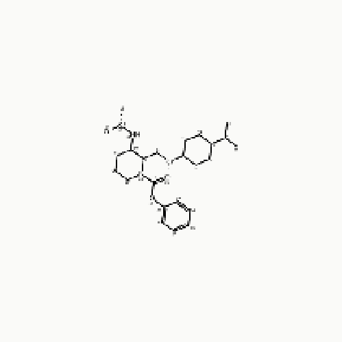 CC(C)C1CCC(OCC2C(N[S@@+](C)[O-])CCCN2C(=O)Oc2ccccc2)CC1